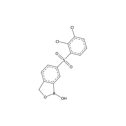 O=S(=O)(c1ccc2c(c1)B(O)OC2)c1cccc(Cl)c1Cl